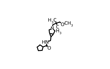 COCC(C)(C)CN1CC2C(CNC(=O)C3CCCC3)C2C1